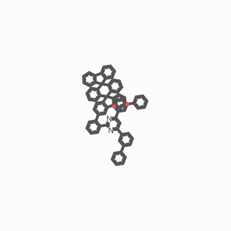 c1ccc(-c2cccc(-c3cc(-c4cccc(-c5ccccc5)c4)nc(-c4ccccc4-c4ccc5c(c4)-c4ccccc4C54c5ccccc5C5(c6ccccc6-c6ccccc65)c5ccccc54)n3)c2)cc1